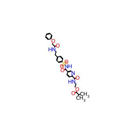 CC(C)C(=O)OCCNC(=O)c1ccc(C(=O)NS(=O)(=O)c2ccc(CCNC(=O)COc3ccccc3)cc2)cn1